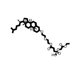 CCOC(=O)COP(=O)(O)CCC(=O)OCCOCCO[C@H]1CC[C@@]2(C)C(=CC[C@H]3[C@@H]4CC[C@H]([C@H](C)CCCC(C)C)[C@@]4(C)CC[C@@H]32)C1